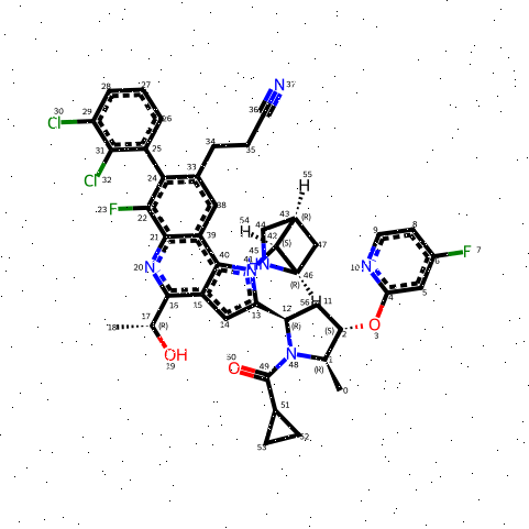 C[C@@H]1[C@@H](Oc2cc(F)ccn2)C[C@H](c2cc3c([C@@H](C)O)nc4c(F)c(-c5cccc(Cl)c5Cl)c(CCC#N)cc4c3n2[C@H]2[C@H]3CN[C@@H]2C3)N1C(=O)C1CC1